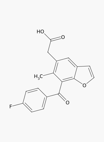 Cc1c(CC(=O)O)cc2ccoc2c1C(=O)c1ccc(F)cc1